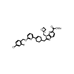 COC(=O)c1ccc2nc(CC3CC=C(c4cccc(OCc5ccc(Cl)cc5F)n4)CC3)n(C[C@@H]3CCO3)c2n1